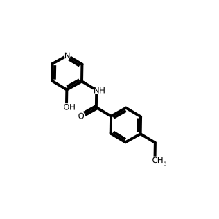 CCc1ccc(C(=O)Nc2cnccc2O)cc1